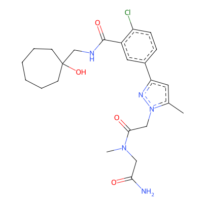 Cc1cc(-c2ccc(Cl)c(C(=O)NCC3(O)CCCCCC3)c2)nn1CC(=O)N(C)CC(N)=O